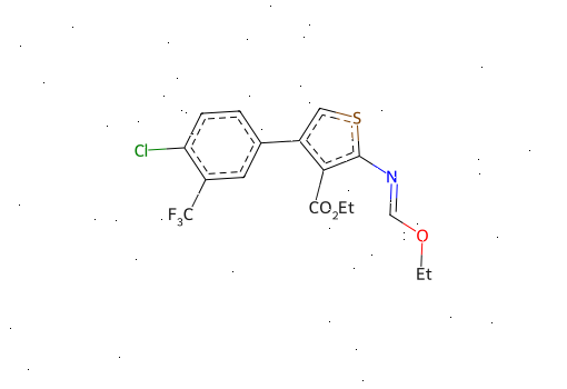 CCOC=Nc1scc(-c2ccc(Cl)c(C(F)(F)F)c2)c1C(=O)OCC